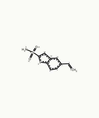 C=Cc1ccc2sc(S(N)(=O)=O)cc2c1